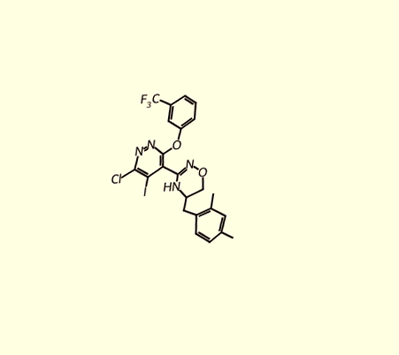 Cc1ccc(CC2CON=C(c3c(Oc4cccc(C(F)(F)F)c4)nnc(Cl)c3I)N2)c(C)c1